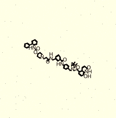 CC(C)(C)[Si](C)(C)O[C@@H](CNCc1ccc(NC(=O)c2cccc(CNC(=O)CCN3CCC(OC(=O)Nc4ccccc4-c4ccccc4)CC3)c2)cc1)c1ccc(O)c2[nH]c(=O)ccc12